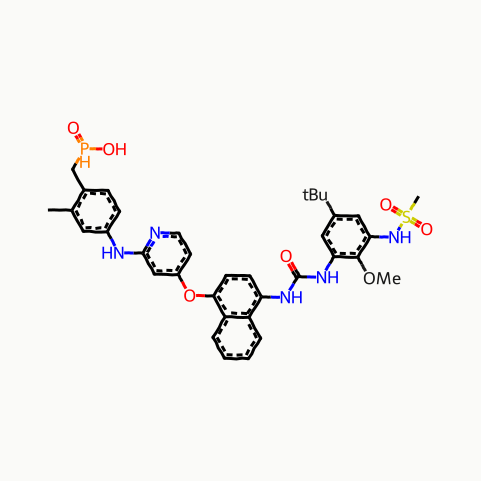 COc1c(NC(=O)Nc2ccc(Oc3ccnc(Nc4ccc(C[PH](=O)O)c(C)c4)c3)c3ccccc23)cc(C(C)(C)C)cc1NS(C)(=O)=O